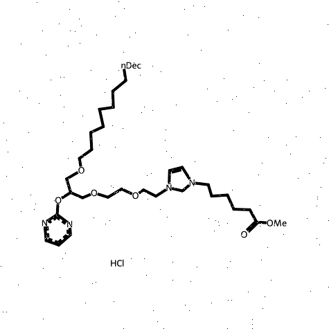 CCCCCCCCCCCCCCCCCCOCC(COCCOCCN1C=CN(CCCCCC(=O)OC)C1)Oc1ncccn1.Cl